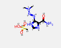 CN(C)N=Nc1[nH]cnc1C(N)=O.CS(=O)(=O)O